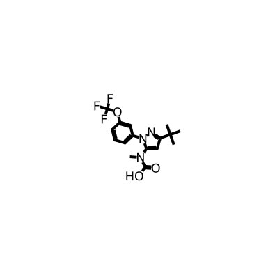 CN(C(=O)O)c1cc(C(C)(C)C)nn1-c1cccc(OC(F)(F)F)c1